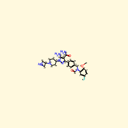 COc1ccc(F)cc1N(C=O)Cc1ccc(-c2nn(C3CCN(C4CNC4)CC3)c(N)c2C(N)=O)cc1